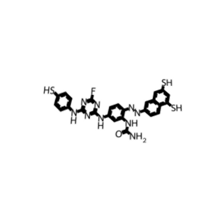 NC(=O)Nc1cc(Nc2nc(F)nc(Nc3ccc(S)cc3)n2)ccc1N=Nc1ccc2c(S)cc(S)cc2c1